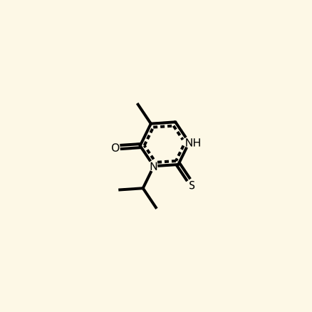 Cc1c[nH]c(=S)n(C(C)C)c1=O